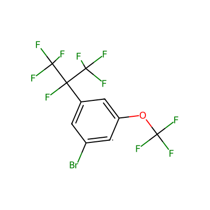 FC(F)(F)Oc1[c]c(Br)cc(C(F)(C(F)(F)F)C(F)(F)F)c1